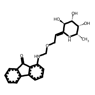 C[C@@H]1N/C(=C\COCNc2cccc3c2C(=O)c2ccccc2-3)[C@@H](O)[C@H](O)[C@@H]1O